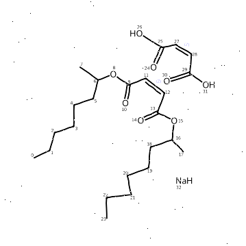 CCCCCCC(C)OC(=O)/C=C\C(=O)OC(C)CCCCCC.O=C(O)/C=C\C(=O)O.[NaH]